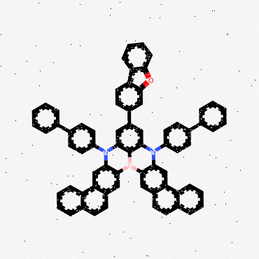 c1ccc(-c2ccc(N3c4cc5c(ccc6ccccc65)cc4B4c5cc6ccc7ccccc7c6cc5N(c5ccc(-c6ccccc6)cc5)c5cc(-c6ccc7c(c6)oc6ccccc67)cc3c54)cc2)cc1